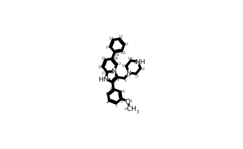 COc1cccc(C2=C(CN3CCNCC3)N3C=C(c4ccccc4)C=CC3N2)c1